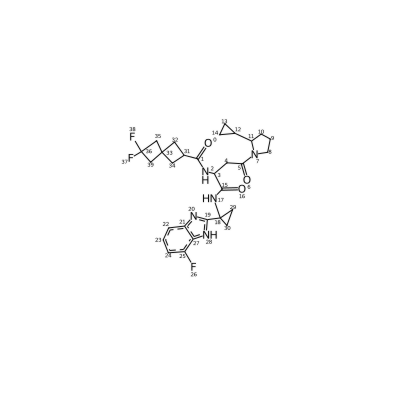 O=C(NC(CC(=O)N1CCCC1C1CC1)C(=O)NC1(c2nc3cccc(F)c3[nH]2)CC1)C1CC2(C1)CC(F)(F)C2